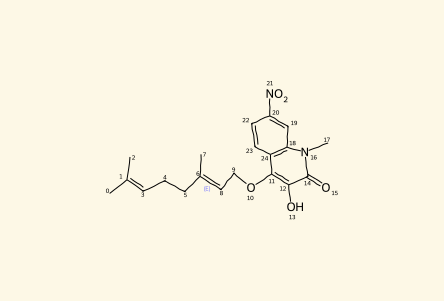 CC(C)=CCC/C(C)=C/COc1c(O)c(=O)n(C)c2cc([N+](=O)[O-])ccc12